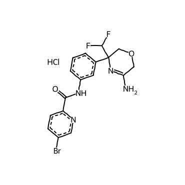 Cl.NC1=NC(c2cccc(NC(=O)c3ccc(Br)cn3)c2)(C(F)F)COC1